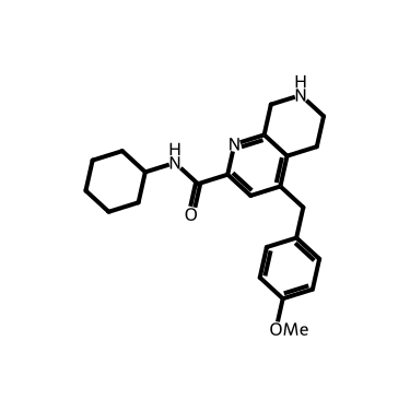 COc1ccc(Cc2cc(C(=O)NC3CCCCC3)nc3c2CCNC3)cc1